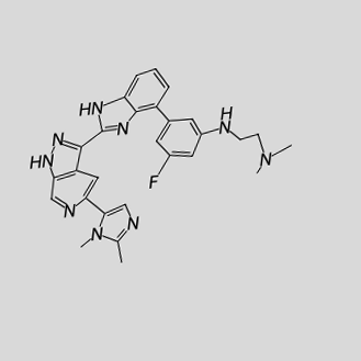 Cc1ncc(-c2cc3c(-c4nc5c(-c6cc(F)cc(NCCN(C)C)c6)cccc5[nH]4)n[nH]c3cn2)n1C